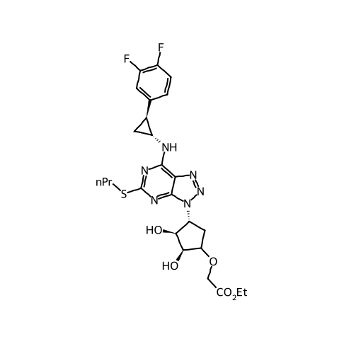 CCCSc1nc(N[C@@H]2C[C@H]2c2ccc(F)c(F)c2)c2nnn([C@@H]3CC(OCC(=O)OCC)[C@@H](O)[C@H]3O)c2n1